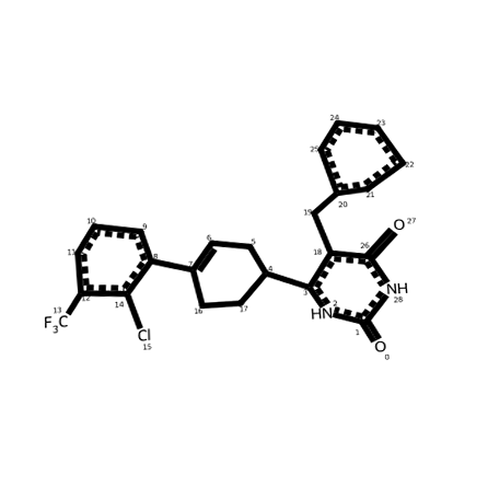 O=c1[nH]c(C2CC=C(c3cccc(C(F)(F)F)c3Cl)CC2)c(Cc2ccccc2)c(=O)[nH]1